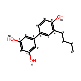 CCCCc1cc(-c2cc(O)cc(O)c2)ccc1O